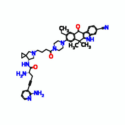 CCc1cc2c(cc1N1CCN(C(=O)CCCN3C[C@H](NC(=O)[C@@H](N)CC#Cc4cccnc4N)C4(CC4)C3)CC1)C(C)(C)c1[nH]c3cc(C#N)ccc3c1C2=O